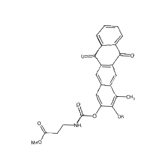 COC(=O)CCNC(=O)Oc1cc2cc3c(cc2c(C)c1O)C(=O)c1ccccc1C3=O